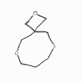 C1COCC2(COC2)CSC1